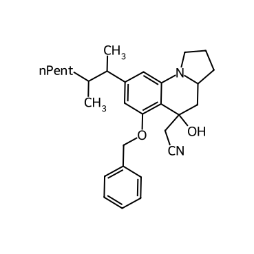 CCCCCC(C)C(C)c1cc(OCc2ccccc2)c2c(c1)N1CCCC1CC2(O)CC#N